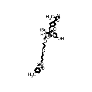 Cc1ccc(S(=O)(=O)OCCCCCOCCCOCC(=O)N[C@H](C(=O)N(Cc2ccc(-c3scnc3C)cc2)C(=O)[C@@H]2C[C@@H](O)CN2)C(C)(C)C)cc1